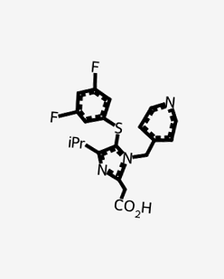 CC(C)c1nc(CC(=O)O)n(Cc2ccncc2)c1Sc1cc(F)cc(F)c1